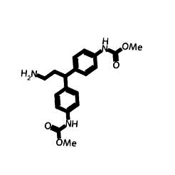 COC(=O)Nc1ccc(C(CCN)c2ccc(NC(=O)OC)cc2)cc1